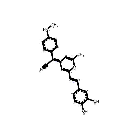 CNc1ccc(/C(C#N)=C2\C=C(C)OC(/C=C/c3ccc(O)c(O)c3)=C2)cc1